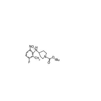 Cc1c(F)ccc([N+](=O)[O-])c1NC1CCN(C(=O)OC(C)(C)C)CC1